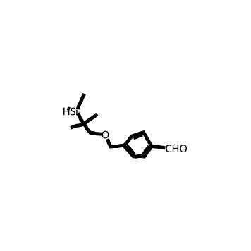 C[SiH](C)C(C)(C)COCc1ccc(C=O)cc1